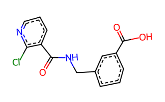 O=C(O)c1cccc(CNC(=O)c2cccnc2Cl)c1